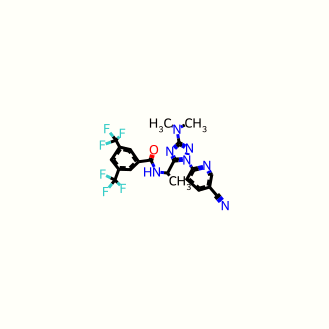 CC(NC(=O)c1cc(C(F)(F)F)cc(C(F)(F)F)c1)c1nc(N(C)C)nn1-c1ccc(C#N)cn1